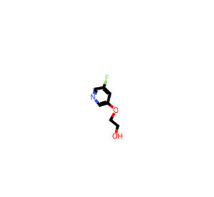 OCCOc1cn[c]c(F)c1